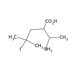 BC(C)C(CC(C)(C)I)C(=O)O